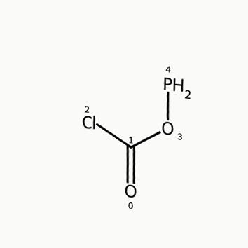 O=C(Cl)OP